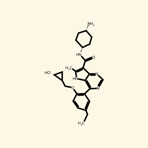 CCc1ccc(OCC2CC2)c(-c2ncnc3c(C(=O)N[C@H]4CC[C@@H](N)CC4)c(C)[nH]c23)c1.Cl